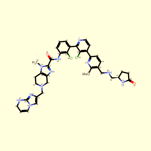 COc1nc(-c2ccnc(-c3cccc(NC(=O)c4nc5c(n4C)CCN(Cc4cn6c(n4)NCC=C6)C5)c3Cl)c2Cl)ccc1CNC[C@H]1CCC(=O)N1